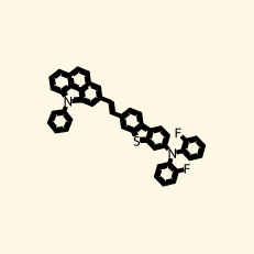 Fc1ccccc1N(c1ccc2c(c1)sc1cc(/C=C/c3cc4ccc5cccc6c5c4c(c3)n6-c3ccccc3)ccc12)c1ccccc1F